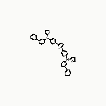 c1ccc(-c2cccc(N(c3ccc(-c4ccc(-c5ccc(N(c6cccc(-c7ccccc7)c6)c6cccs6)cc5)o4)cc3)c3cccs3)c2)cc1